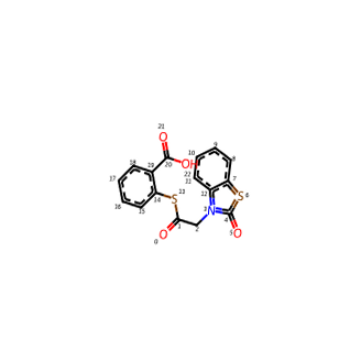 O=C(Cn1c(=O)sc2ccccc21)Sc1ccccc1C(=O)O